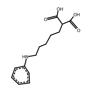 O=C(O)C(CCCCCNc1ccccc1)C(=O)O